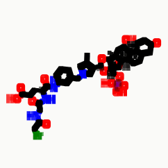 Cc1cn(Cc2cccc(NC(=O)[C@H](CCC(=O)O)NC(=O)CNC(=O)CBr)c2)cc1[C@@H]1O[C@@H]2C[C@H]3[C@@H]4CCC5=CC(=O)C=C[C@]5(C)[C@H]4[C@@H](O)C[C@]3(C)[C@]2(C(=O)COP(=O)(O)O)O1